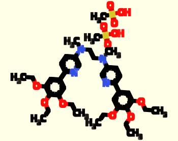 CCOc1cc(-c2ccc(N(C)CCN(C)c3ccc(-c4cc(OCC)c(OCC)c(OCC)c4)nc3)cn2)cc(OCC)c1OCC.CS(=O)(=O)O.CS(=O)(=O)O